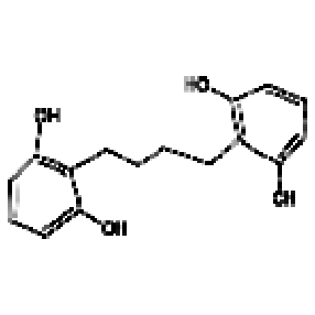 Oc1cccc(O)c1CCCCc1c(O)cccc1O